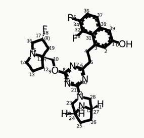 Oc1cc(CCc2nc(OC[C@@]34CCCN3C[C@H](F)C4)nc(N3C[C@H]4CC[C@@H](C3)N4)n2)c2c(F)c(F)ccc2c1